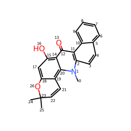 Cn1c2ccc3ccccc3c2c(=O)c2c(O)cc3c(c21)C=CC(C)(C)O3